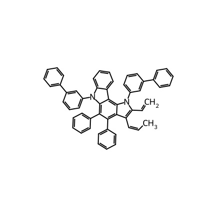 C=Cc1c(/C=C\C)c2c(-c3ccccc3)c(-c3ccccc3)c3c(c4ccccc4n3-c3cccc(-c4ccccc4)c3)c2n1-c1cccc(-c2ccccc2)c1